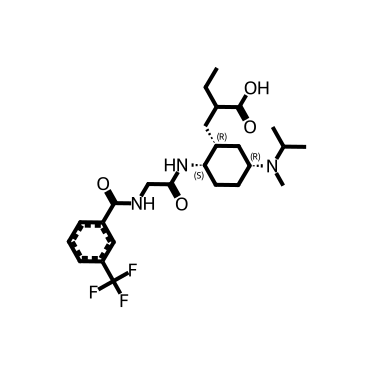 CCC(C[C@@H]1C[C@H](N(C)C(C)C)CC[C@@H]1NC(=O)CNC(=O)c1cccc(C(F)(F)F)c1)C(=O)O